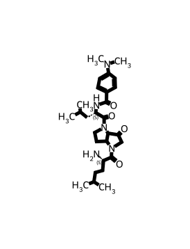 CC(C)CC[C@H](N)C(=O)N1CC(=O)C2C1CCN2C(=O)[C@H](CC(C)C)NC(=O)c1ccc(N(C)C)cc1